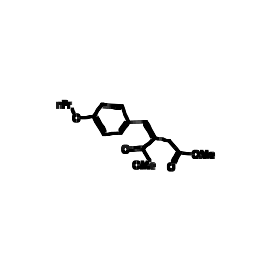 CCCOc1ccc(C=C(CC(=O)OC)C(=O)OC)cc1